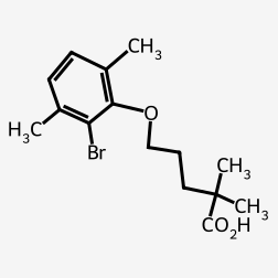 Cc1ccc(C)c(OCCCC(C)(C)C(=O)O)c1Br